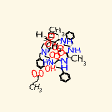 CCCC(=O)Oc1ccc(C[N+]2(CC(=O)N[C@@H](CCc3ccccc3)C(=O)N[C@@H](C)C(=O)N[C@@H](Cc3ccccc3)C(=O)N[C@@H](CC(C)C)C(=O)[C@@]3(C)CO3)CCOCC2)cc1O